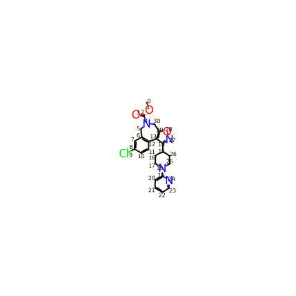 COC(=O)N1Cc2cc(Cl)ccc2-c2c(C3CCN(c4ccccn4)CC3)noc2C1